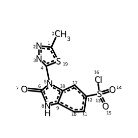 Cc1nnc(-n2c(=O)[nH]c3ccc(S(=O)(=O)Cl)cc32)s1